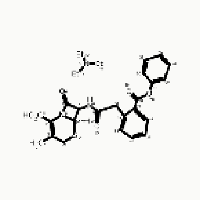 CC1=C(C(=O)O)N2C(=O)C(NC(=O)Cc3ccccc3C(=O)Oc3ccccc3)[C@H]2SC1.CCN(CC)CC